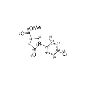 COC(=O)C1CC(=O)N(c2ccc(Cl)cc2C)C1